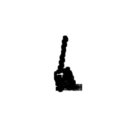 CCCCCCCCCCCCCC1CCCc2cc(C(C)(C)C)c(cc2C)OP(OP(O)O)Oc2cc(C)c1cc2C(C)(C)C